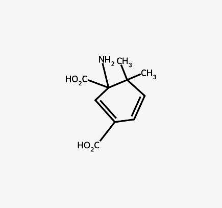 CC1(C)C=CC(C(=O)O)=CC1(N)C(=O)O